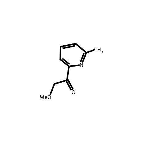 COCC(=O)c1cccc(C)n1